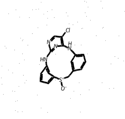 [O-][S+]1Cc2cccc(c2)Nc2nc(ncc2Cl)Nc2cccc1c2